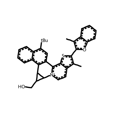 Cc1c(-c2sc3c4[n+](ccc3c2C)C2C(CO)C2c2c-4cc(C(C)(C)C)c3ccccc23)oc2ccccc12